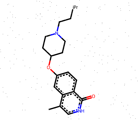 Cc1c[nH]c(=O)c2ccc(OC3CCN(CCC(C)C)CC3)cc12